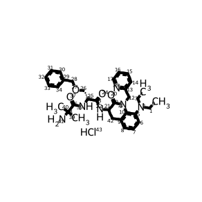 CCN(CC)c1cccc2c1N(Cc1ccccn1)C(=O)C(NC(=O)[C@@H](COCc1ccccc1)NC(=O)C(C)(C)N)C2.Cl